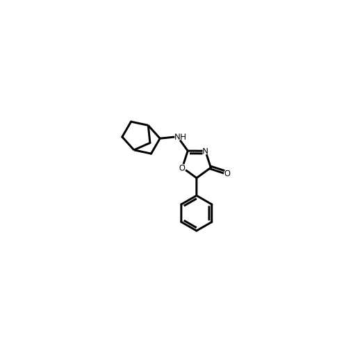 O=C1N=C(NC2CC3CCC2C3)OC1c1ccccc1